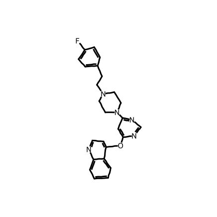 Fc1ccc(CCN2CCN(c3cc(Oc4ccnc5ccccc45)ncn3)CC2)cc1